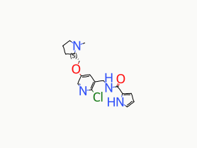 CN1CCC[C@H]1COc1cnc(Cl)c(CNC(=O)c2ccc[nH]2)c1